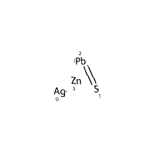 [Ag].[S]=[Pb].[Zn]